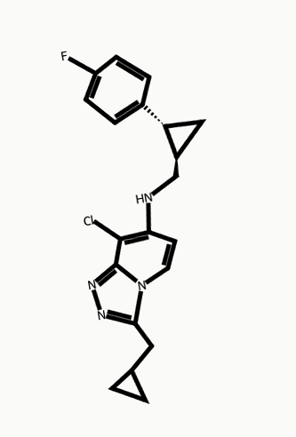 Fc1ccc([C@@H]2C[C@H]2CNc2ccn3c(CC4CC4)nnc3c2Cl)cc1